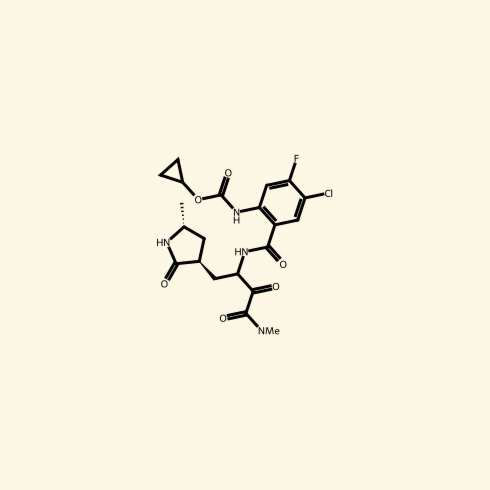 CNC(=O)C(=O)C(C[C@@H]1C[C@@H](C)NC1=O)NC(=O)c1cc(Cl)c(F)cc1NC(=O)OC1CC1